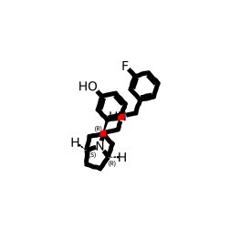 Oc1cccc([C@H]2C[C@H]3CC[C@@H](C2)N3CCNCc2cccc(F)c2)c1